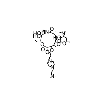 CC[C@H]1OC(=O)[C@H](C)[C@@H](OC(=O)CCN2CCN(CCN(C)C)CC2)[C@H](C)[C@@H](O[C@@H]2O[C@H](C)C[C@H](N(C)C)[C@H]2O)[C@](C)(OC)C[C@@H](C)C(=O)N[C@H](C)[C@@H](O)[C@]1(C)O